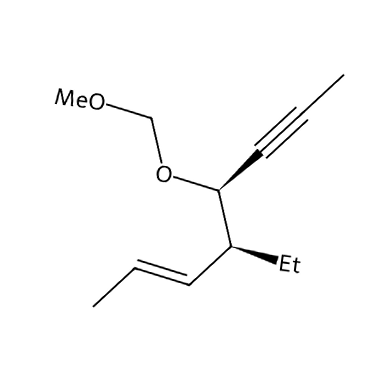 CC#C[C@H](OCOC)[C@H](/C=C/C)CC